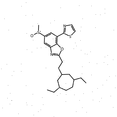 CCC1CCC(CC)CC(CCc2nc3cc([S+](C)[O-])cc(-c4nccs4)c3o2)C1